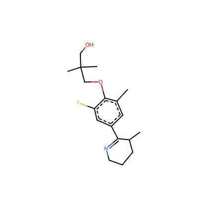 Cc1cc(C2=NCCCC2C)cc(F)c1OCC(C)(C)CO